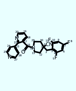 N#CC1(Cc2c(F)cc(F)cc2F)CCN(C(=O)c2cccnc2-c2ccncc2)CC1